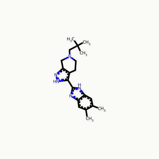 Cc1cc2nc(-c3[nH]nc4c3CCN(CC(C)(C)C)C4)[nH]c2cc1C